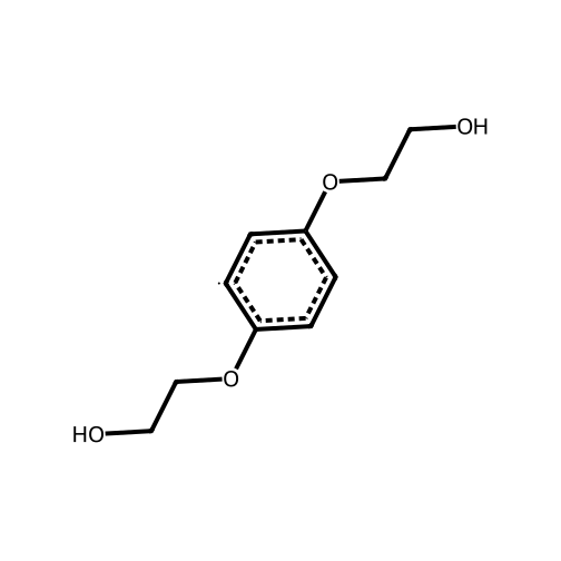 OCCOc1[c]cc(OCCO)cc1